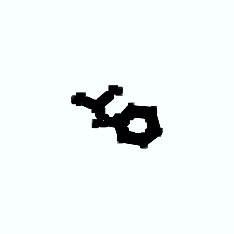 FP(F)Oc1ccccc1